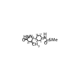 CSC(=O)Nc1ccc(-c2n[nH]c(=O)cc2C)cc1